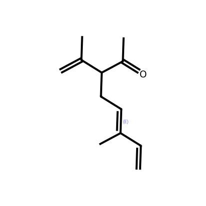 C=C/C(C)=C/CC(C(=C)C)C(C)=O